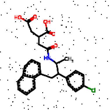 CC(NC(=O)CC(CC(=O)O)C(=O)O)C(Cc1cccc2ccccc12)c1ccc(Cl)cc1